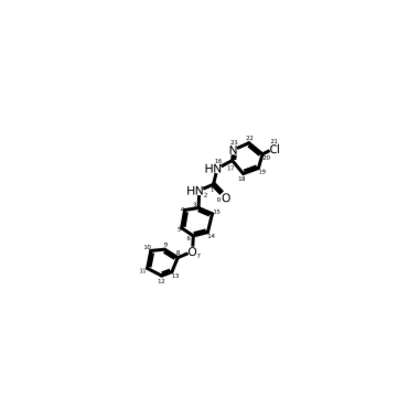 O=C(Nc1ccc(Oc2ccccc2)cc1)Nc1ccc(Cl)cn1